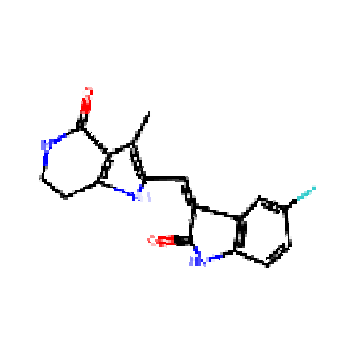 Cc1c(/C=C2\C(=O)Nc3ccc(F)cc32)[nH]c2c1C(=O)NCC2